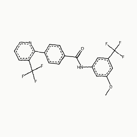 COc1cc(NC(=O)c2ccc(-c3ncccc3C(F)(F)F)cc2)cc(C(F)(F)F)c1